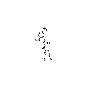 Cc1cc(NCC=Cc2cc(N)ccc2N)ccc1N.Cl